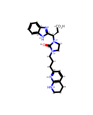 O=C(O)C[C@H](c1nc2ccccc2[nH]1)N1CCN(CCCc2ccc3c(n2)NCCC3)C1=O